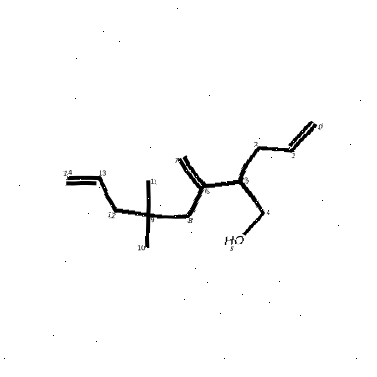 C=CCC(CO)C(=C)CC(C)(C)CC=C